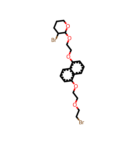 BrCCOCCOc1cccc2c(OCCOC3OCCCC3Br)cccc12